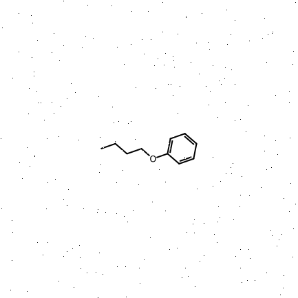 C[CH]CCOc1ccccc1